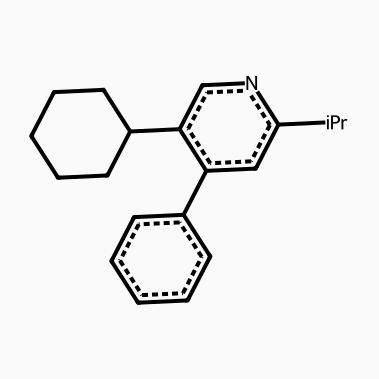 CC(C)c1cc(-c2ccccc2)c(C2CCCCC2)cn1